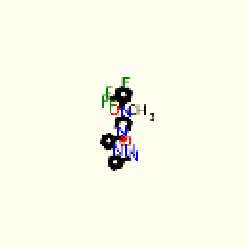 CN(C(=O)c1ccc(F)cc1C(F)(F)F)C1CCN(C(=O)c2ccccc2Nc2ccccc2C#N)CC1